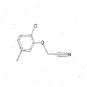 Cc1ccc(Cl)c(OCC#N)c1